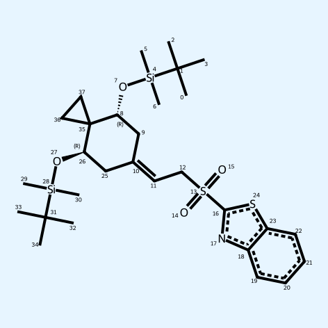 CC(C)(C)[Si](C)(C)O[C@@H]1CC(=CCS(=O)(=O)c2nc3ccccc3s2)C[C@@H](O[Si](C)(C)C(C)(C)C)C12CC2